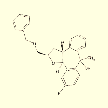 CC1(O)c2ccccc2[C@H]2C[C@H](COCc3ccccc3)O[C@@H]2c2cc(F)ccc21